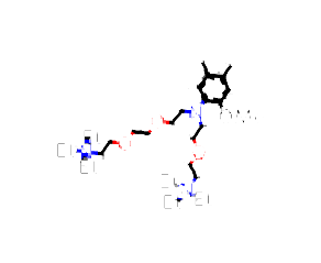 CC[N+](CC)(CC)CCOCCOCCN(CCOCC[N+](CC)(CC)CC)c1cc(C)c(C)cc1OC